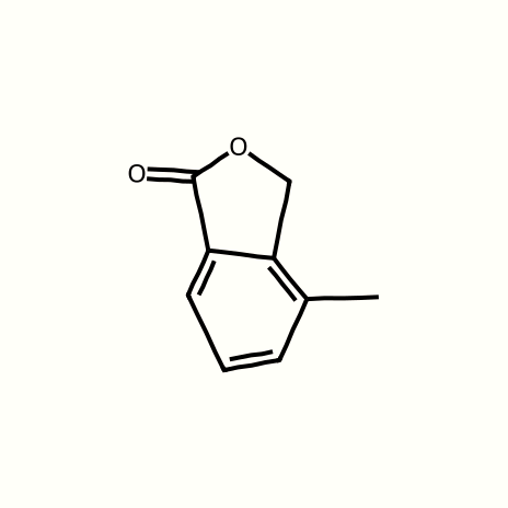 Cc1cccc2c1COC2=O